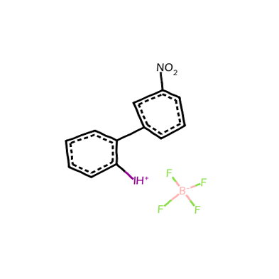 F[B-](F)(F)F.O=[N+]([O-])c1cccc(-c2ccccc2[IH+])c1